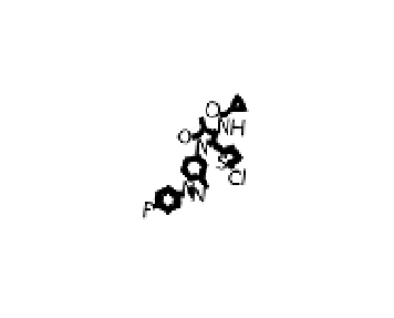 CC1C(=O)N(c2ccc3c(cnn3-c3ccc(F)cc3)c2)C(c2ccc(Cl)s2)C1NC(=O)C1CC1